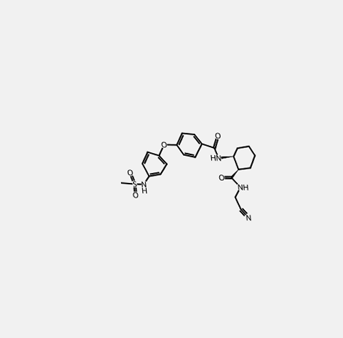 CS(=O)(=O)Nc1ccc(Oc2ccc(C(=O)N[C@H]3CCCC[C@H]3C(=O)NCC#N)cc2)cc1